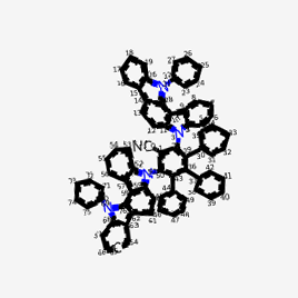 N#Cc1c(-n2c3ccccc3c3c2ccc2c4ccccc4n(-c4ccccc4)c23)c(-c2ccccc2)c(-c2ccccc2)c(-c2ccccc2)c1-n1c2ccccc2c2c1ccc1c3ccccc3n(-c3ccccc3)c12